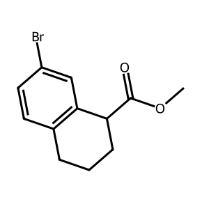 COC(=O)C1CCCc2ccc(Br)cc21